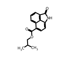 CC(C)COC(=O)c1ccc2c3c(cccc13)C(=O)N2